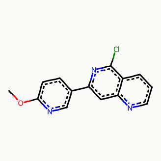 COc1ccc(-c2cc3ncccc3c(Cl)n2)cn1